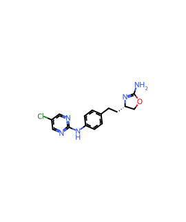 NC1=N[C@@H](CCc2ccc(Nc3ncc(Cl)cn3)cc2)CO1